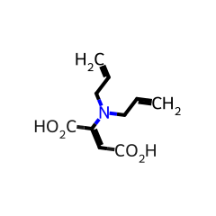 C=CCN(CC=C)C(=CC(=O)O)C(=O)O